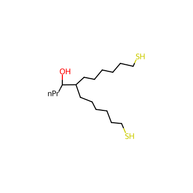 CCCC(O)C(CCCCCCS)CCCCCCS